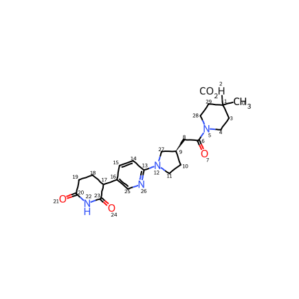 CC1(C(=O)O)CCN(C(=O)C[C@H]2CCN(c3ccc(C4CCC(=O)NC4=O)cn3)C2)CC1